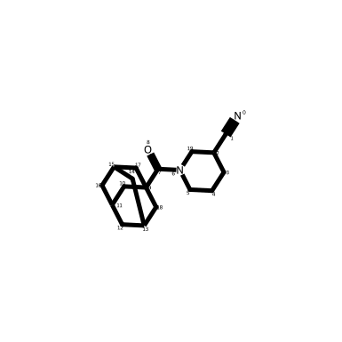 N#CC1CCCN(C(=O)C23CC4CC(CC(C4)C2)C3)C1